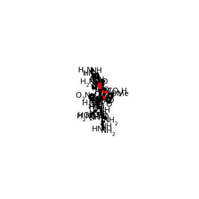 COc1ccc2c(CC(=O)[C@](CNc3ccc([N+](=O)[O-])cc3[N+](=O)[O-])(C(=O)N[C@@H](C)C(=O)N[C@H](CCCNC(=N)N)C(=O)N[C@H](CCC(=O)O)C(=O)N[C@H](CCCNC(=N)N)C(N)=O)N(C(=O)[C@H](CCC(=O)O)NC(=O)[C@H](CCC(N)=O)NC(=O)[C@@H]3CCCN3C(=O)[C@H](N)CCCNC(=N)N)C(=O)[C@@H](N)CCCCOCc3ccccc3)cc(=O)oc2c1